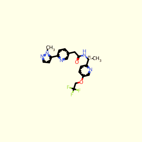 C[C@@H](NC(=O)Cc1ccc(-c2ccnn2C)nc1)c1ccc(OCC(F)(F)F)cn1